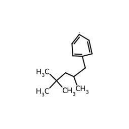 CC(Cc1cc[c]cc1)CC(C)(C)C